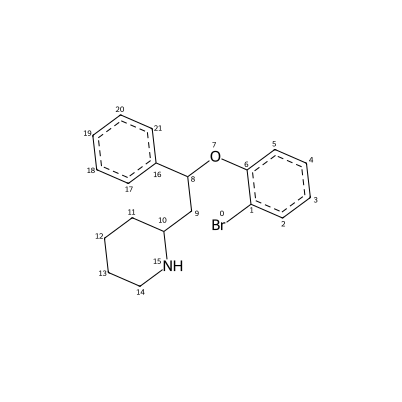 Brc1ccccc1OC(CC1CCCCN1)c1ccccc1